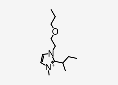 CCCOCCn1cc[n+](C)c1C(C)CC